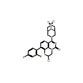 O=c1nc(N2CC3CS(=O)(=O)CC(C2)N3)c2ccc(-c3ccc(F)cc3F)c3c2n1CC(Cl)S3